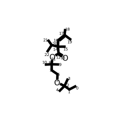 CCC(C)(C)OCCC(C)(C)OC(=O)C(C)(C=C(C)C)C(C)C